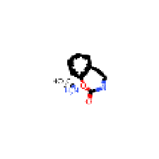 NC(=O)O.O=C1N=CCc2ccccc2O1